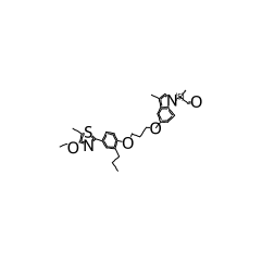 CCCc1cc(-c2nc(OCC)c(C)s2)ccc1OCCCOc1ccc2c(c1)c(C)cn2[C@@H](C)C=O